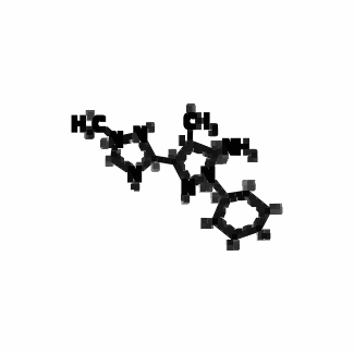 Cc1c(-c2ncn(C)n2)nn(-c2ccccc2)c1N